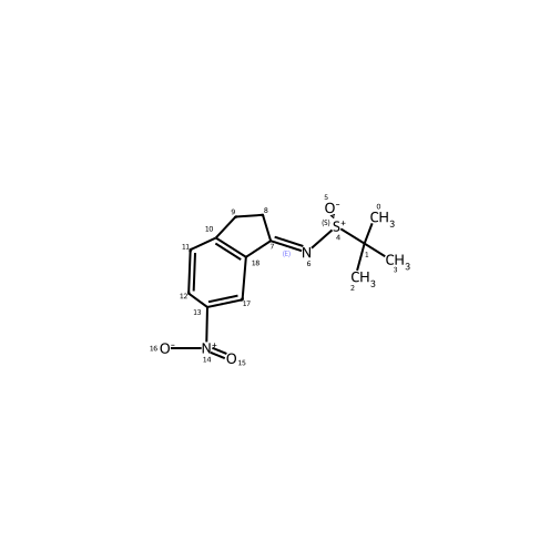 CC(C)(C)[S@@+]([O-])/N=C1\CCc2ccc([N+](=O)[O-])cc21